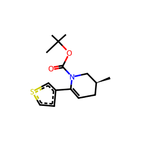 C[C@H]1CC=C(c2ccsc2)N(C(=O)OC(C)(C)C)C1